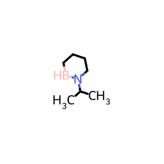 CC(C)N1BCCCC1